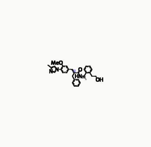 COc1cc(/C=C(\Cc2ccccc2)C(=O)N[C@@H](C)c2ccccc2CCO)ccc1-n1cnc(C)c1